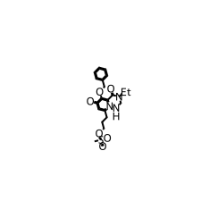 CCN1CNn2c(CCCOS(C)(=O)=O)cc(=O)c(OCc3ccccc3)c2C1=O